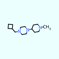 CN1CCC(N2CCN(CC3CCC3)CC2)CC1